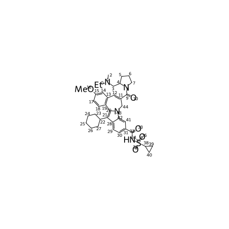 CCN(C)CC1CCCN1C(=O)C1=Cc2cc(OC)ccc2-c2c(C3CCCCC3)c3ccc(C(=O)NS(=O)(=O)C4CC4)cc3n2C1